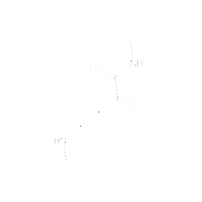 CNC(=O)C(=O)C(C)(C)C(C)(C)NC